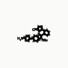 CC(C)(C)n1c(-c2ccccc2-n2cc(Cl)cn2)nc2cc(-c3cnc(N)nc3)ccc21